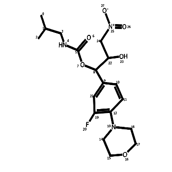 CC(C)CNC(=O)OC(c1ccc(N2CCOCC2)c(F)c1)C(O)C[N+](=O)[O-]